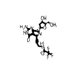 Nc1nc2c(c(C#CCNC(=O)C(F)(F)F)nn2[C@H]2C[C@@H](O)[C@@H](CO)O2)c(=O)[nH]1